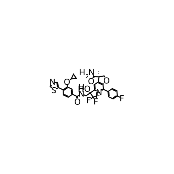 C[C@]1(C(N)=O)COc2c1cc([C@@](O)(CNC(=O)c1ccc(-c3cncs3)c(OC3CC3)c1)C(F)(F)F)nc2-c1ccc(F)cc1